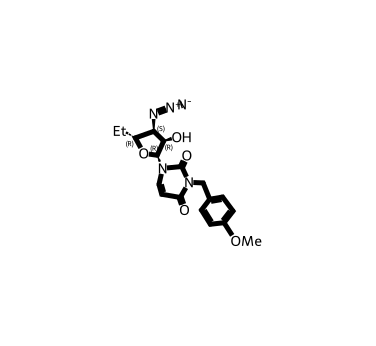 CC[C@H]1O[C@@H](n2ccc(=O)n(Cc3ccc(OC)cc3)c2=O)[C@H](O)[C@@H]1N=[N+]=[N-]